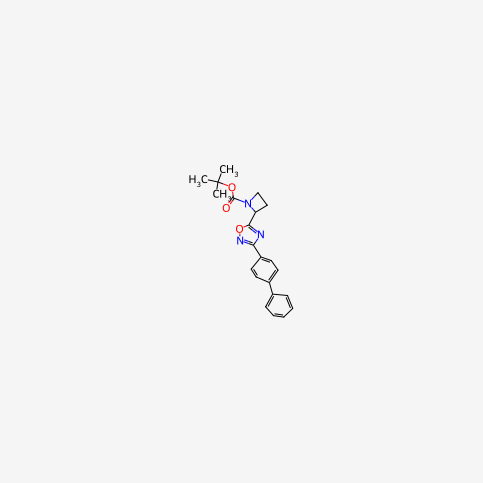 CC(C)(C)OC(=O)N1CCC1c1nc(-c2ccc(-c3ccccc3)cc2)no1